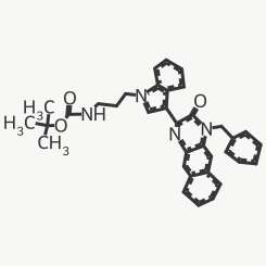 CC(C)(C)OC(=O)NCCCn1cc(-c2nc3cc4ccccc4cc3n(Cc3ccccc3)c2=O)c2ccccc21